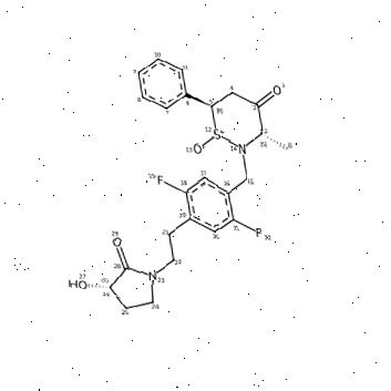 C[C@H]1C(=O)C[C@H](c2ccccc2)[S+]([O-])N1Cc1cc(F)c(CCN2CC[C@H](O)C2=O)cc1F